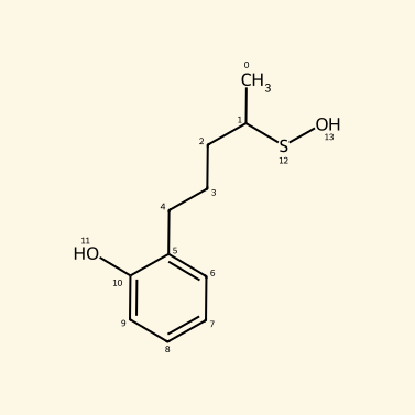 CC(CCCc1ccccc1O)SO